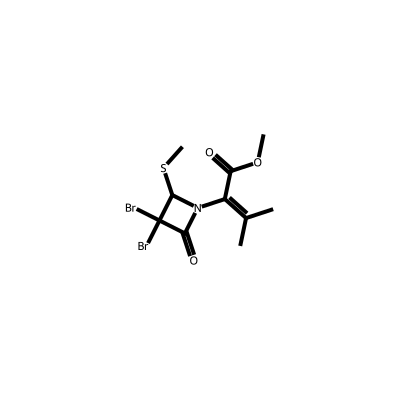 COC(=O)C(=C(C)C)N1C(=O)C(Br)(Br)C1SC